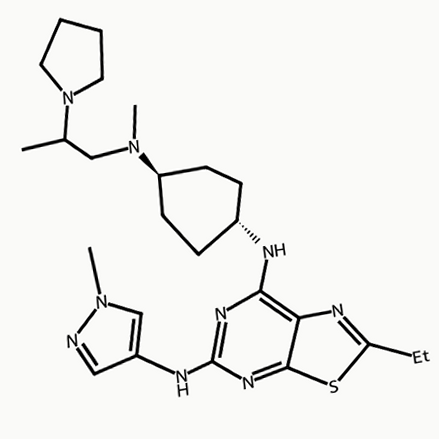 CCc1nc2c(N[C@H]3CC[C@H](N(C)CC(C)N4CCCC4)CC3)nc(Nc3cnn(C)c3)nc2s1